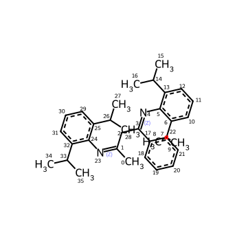 C/C(C/C(=N/c1c(C(C)C)cccc1C(C)C)c1ccccc1)=N/c1c(C(C)C)cccc1C(C)C